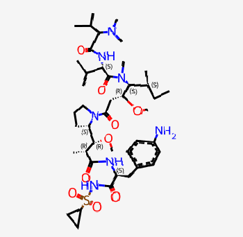 CC[C@H](C)[C@@H]([C@@H](CC(=O)N1CCC[C@H]1[C@H](OC)[C@@H](C)C(=O)N[C@@H](Cc1ccc(N)cc1)C(=O)NS(=O)(=O)C1CC1)OC)N(C)C(=O)[C@@H](NC(=O)C(C(C)C)N(C)C)C(C)C